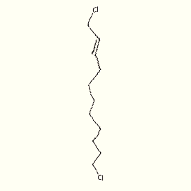 ClCC=CCCCCCCCCCl